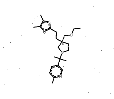 CCOC[C@@]1(CCc2nc(C)c(C)s2)CCN(C(C)(C)c2ccc(C)nc2)C1